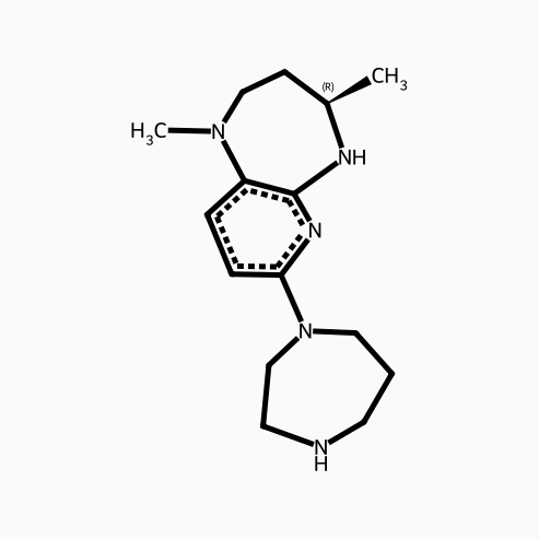 C[C@@H]1CCN(C)c2ccc(N3CCCNCC3)nc2N1